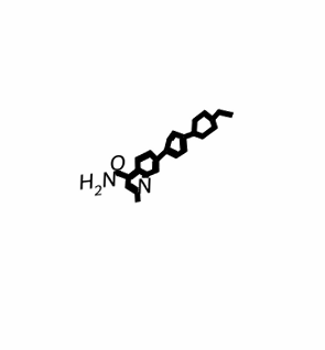 CCC1CCC(c2ccc(-c3ccc4c(C(N)=O)cc(C)nc4c3)cc2)CC1